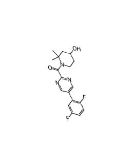 CC1(C)CC(O)CCN1C(=O)c1ncc(-c2cc(F)ccc2F)cn1